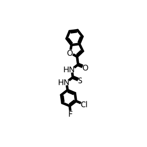 O=C(NC(=S)Nc1ccc(F)c(Cl)c1)c1cc2ccccc2o1